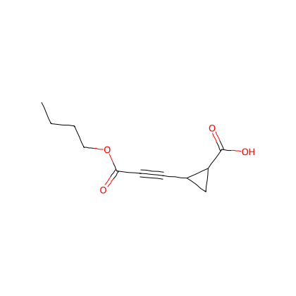 CCCCOC(=O)C#CC1CC1C(=O)O